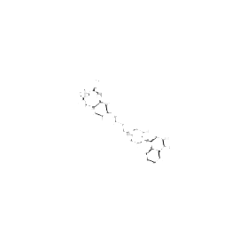 CC1(C)Cc2ccc(OCCCN3CCN(c4cccc5ccccc45)CC3)cc2NC(=O)N1